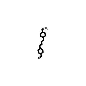 C=CC1CCC(CCC=CC2CCC(C=O)CC2)CC1